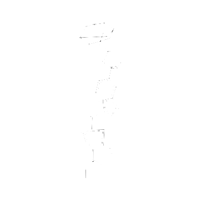 COC(=O)c1ccc(Cn2ccc3cc(C(=O)NCC45CC6CC(CC(C6)C4)C5)ccc32)cc1F